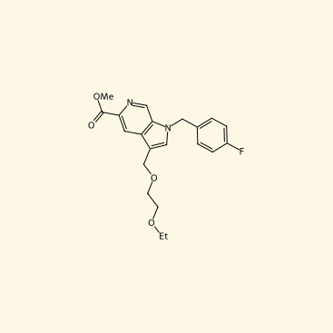 CCOCCOCc1cn(Cc2ccc(F)cc2)c2cnc(C(=O)OC)cc12